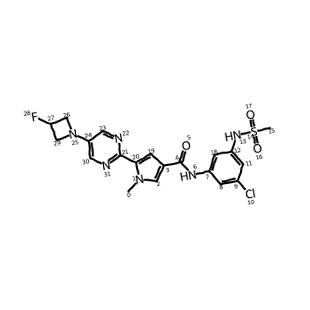 Cn1cc(C(=O)Nc2cc(Cl)cc(NS(C)(=O)=O)c2)cc1-c1ncc(N2CC(F)C2)cn1